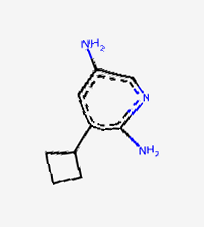 Nc1cnc(N)c(C2CCC2)c1